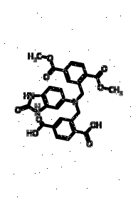 COC(=O)c1ccc(C(=O)OC)c(CN(Cc2cc(C(=O)O)ccc2C(=O)O)c2ccc3[nH]c(=O)[nH]c3c2)c1